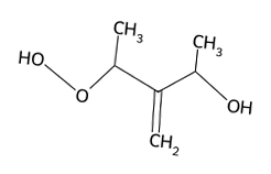 C=C(C(C)O)C(C)OO